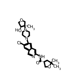 CC1(C)C[C@@H](C(=O)Nc2cc3cc(N4CCN([C@]5(C)COC[C@@H]5O)CC4)c(Cl)cc3cn2)CO1